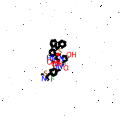 Cc1ncsc1-c1ccc(CNC(=O)[C@H]2C[C@@H](O)CN2C(=O)[C@@H](NC(=O)O)C(C)(C)SC(c2ccccc2)(c2ccccc2)c2ccccc2)cc1F